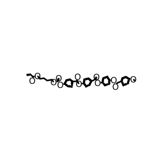 C=CC(=O)OCCCCOC(=O)Oc1ccc(C(=O)Oc2ccc(C(=O)Oc3ccc(OC(=O)c4ccc(OC)cc4)cc3)cc2)cc1